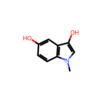 Cn1cc(O)c2cc(O)ccc21